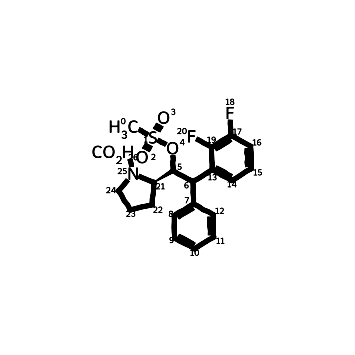 CS(=O)(=O)OC(C(c1ccccc1)c1cccc(F)c1F)[C@H]1CCCN1C(=O)O